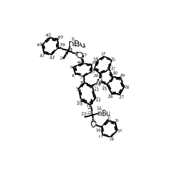 CCCCC(C)(Oc1ccc(-c2ccc(C(C)(CCCC)Oc3ccccc3)cc2-n2c3ccccc3c3ccccc32)cc1)c1ccccc1